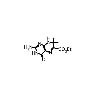 CCOC(=O)C1=Nc2c(nc(N)[nH]c2=O)NC1(C)C